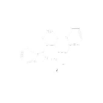 CCC(c1ccccn1)[C@H](N[S@@+]([O-])C(C)(C)C)c1ccccc1-c1noc2ccccc12